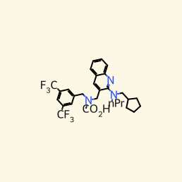 CCCN(CC1CCCC1)c1nc2ccccc2cc1CN(Cc1cc(C(F)(F)F)cc(C(F)(F)F)c1)C(=O)O